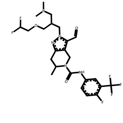 CC1Cc2nn(CC(COCC(F)F)CN(C)C)c(C=O)c2CN1C(=O)Nc1ccc(F)c(C(F)(F)F)c1